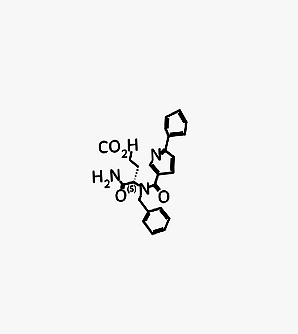 NC(=O)[C@H](CCC(=O)O)N(Cc1ccccc1)C(=O)c1ccc(-c2ccccc2)nc1